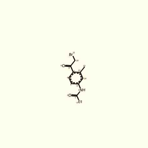 CCC(=O)Nc1ccc(C(=O)CBr)c(C)c1